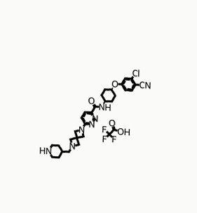 N#Cc1ccc(O[C@H]2CC[C@H](NC(=O)c3ccc(N4CC5(CN(CC6CCNCC6)C5)C4)nn3)CC2)cc1Cl.O=C(O)C(F)(F)F